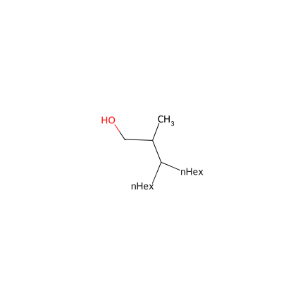 CCCCCCC(CCCCCC)C(C)CO